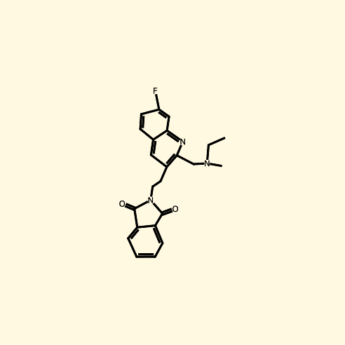 CCN(C)Cc1nc2cc(F)ccc2cc1CCN1C(=O)c2ccccc2C1=O